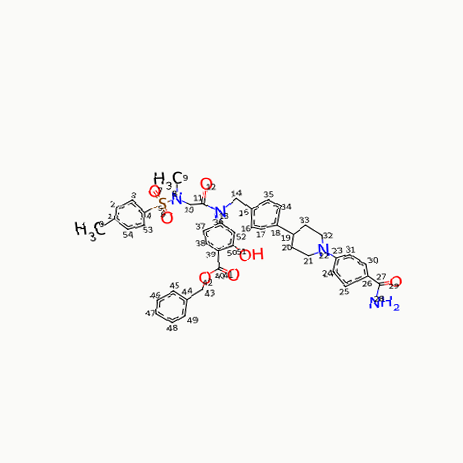 Cc1ccc(S(=O)(=O)N(C)CC(=O)N(Cc2ccc(C3CCN(c4ccc(C(N)=O)cc4)CC3)cc2)c2ccc(C(=O)OCc3ccccc3)c(O)c2)cc1